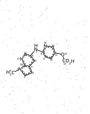 Cn1ccc2cc(Nc3ccc(OC(=O)O)cn3)cnc21